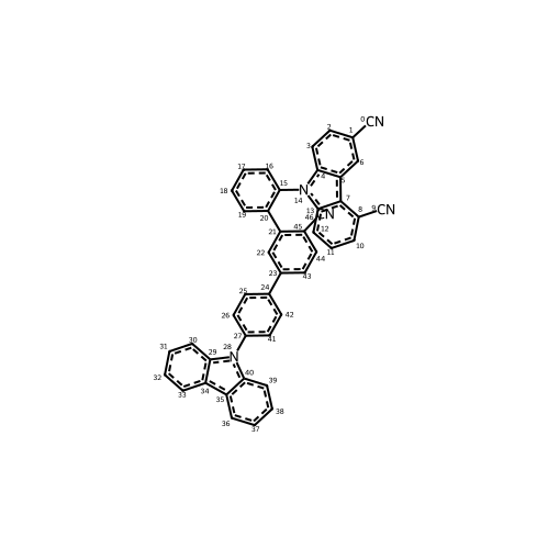 N#Cc1ccc2c(c1)c1c(C#N)cccc1n2-c1ccccc1-c1cc(-c2ccc(-n3c4ccccc4c4ccccc43)cc2)ccc1C#N